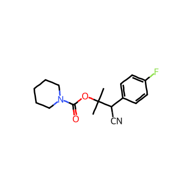 CC(C)(OC(=O)N1CCCCC1)C(C#N)c1ccc(F)cc1